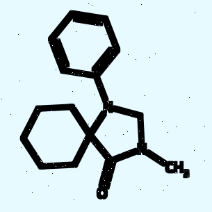 CN1CN(c2ccccc2)C2(CCCCC2)C1=O